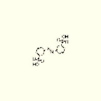 O=S(=O)(O)c1cccc(N=Nc2cccc(S(=O)(=O)O)c2)c1